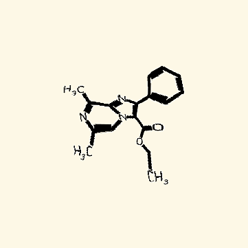 CCOC(=O)c1c(-c2ccccc2)nc2c(C)nc(C)cn12